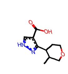 CC1COCCC1c1n[nH]cc1C(=O)O